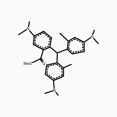 COC(=O)c1cc(N(C)C)ccc1C(c1ccc(N(C)C)cc1C)c1ccc(N(C)C)cc1C